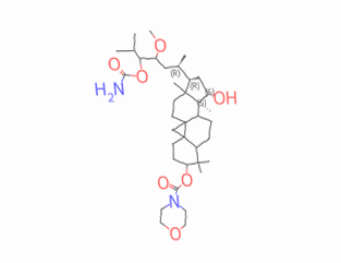 COC(C[C@@H](C)[C@H]1C[C@H](O)[C@@]2(C)C3CCC4C(C)(C)C(OC(=O)N5CCOCC5)CCC45CC35CCC12C)C(OC(N)=O)C(C)C